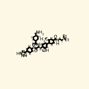 CCN(CC)CCNC(=O)c1ccc(-c2ccc(C[C@H](NC(=O)C3CCC(CN)CC3)C(=O)Nc3ccc(-c4nn[nH]n4)cc3)cc2)c(C)c1.Cl